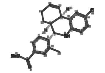 COC(=O)c1ccc([C@H]2Nc3ccc(Cl)cc3[C@@H]3C=CCC[C@H]23)c(C)c1